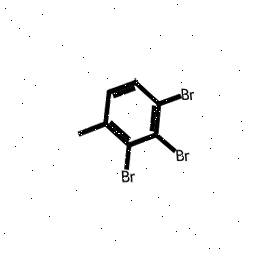 Cc1c[c]c(Br)c(Br)c1Br